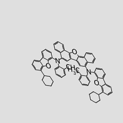 Cc1ccccc1N(c1cc2c3cc(N(c4ccccc4C)c4cccc5c4oc4c(C6CCCCC6)cccc45)c4ccccc4c3oc2c2ccccc12)c1cccc2c1oc1c(C3CCCCC3)cccc12